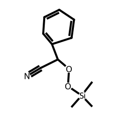 C[Si](C)(C)OOC(C#N)c1ccccc1